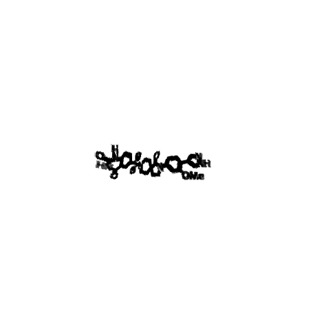 COc1cc(N2CCC3(CCN(S(=O)(=O)c4ccc5[nH]c(=O)[nH]c(=O)c5c4)CC3)C2=O)ccc1-c1cn[nH]c1